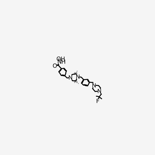 C[C@@H]1CN(Cc2ccc(C(=O)NO)cc2)C[C@H](C)N1Cc1cccc(CN2CCN(CC(C)(C)F)CC2)c1